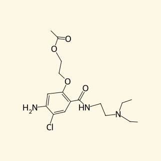 CCN(CC)CCNC(=O)c1cc(Cl)c(N)cc1OCCOC(C)=O